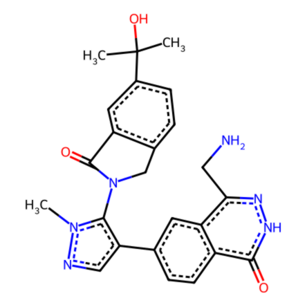 Cn1ncc(-c2ccc3c(=O)[nH]nc(CN)c3c2)c1N1Cc2ccc(C(C)(C)O)cc2C1=O